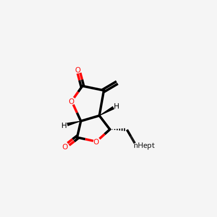 C=C1C(=O)O[C@H]2C(=O)O[C@@H](CCCCCCCC)[C@@H]12